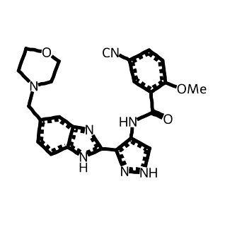 [C-]#[N+]c1ccc(OC)c(C(=O)Nc2c[nH]nc2-c2nc3cc(CN4CCOCC4)ccc3[nH]2)c1